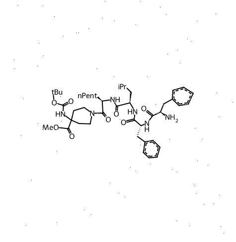 CCCCC[C@@H](NC(=O)[C@@H](CC(C)C)NC(=O)[C@@H](Cc1ccccc1)NC(=O)[C@H](N)Cc1ccccc1)C(=O)N1CCC(NC(=O)OC(C)(C)C)(C(=O)OC)CC1